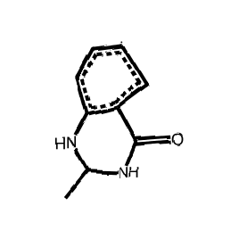 CC1NC(=O)c2c[c]ccc2N1